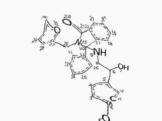 COc1ccc(C(O)CNC2(c3ccccc3)c3ccccc3C(=O)N2Cc2ccco2)cc1